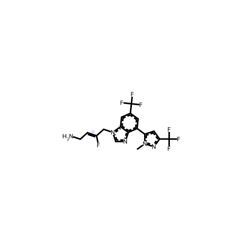 Cn1nc(C(F)(F)F)cc1-c1cc(C(F)(F)F)cc2c1ncn2C/C(F)=C/CN